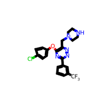 FC(F)(F)c1cccc(-c2nnc(CN3CCNCC3)c(Oc3ccc(Cl)cc3)n2)c1